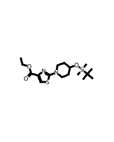 CCOC(=O)c1csc(N2CCC(O[Si](C)(C)C(C)(C)C)CC2)n1